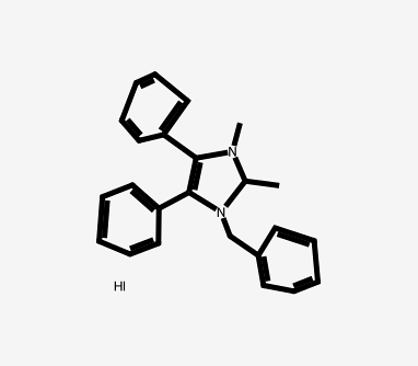 CC1N(C)C(c2ccccc2)=C(c2ccccc2)N1Cc1ccccc1.I